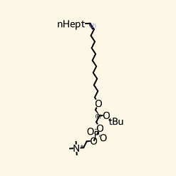 CCCCCCC/C=C\CCCCCCCCCCCOC[C@H](COP(=O)([O-])OCC[N+](C)(C)C)OC(C)(C)C